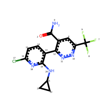 NC(=O)c1cc(C(F)(F)F)nnc1-c1ccc(Cl)nc1NC1CC1